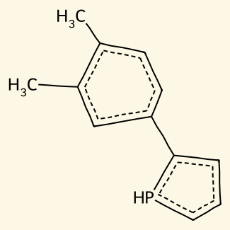 Cc1ccc(-c2ccc[pH]2)cc1C